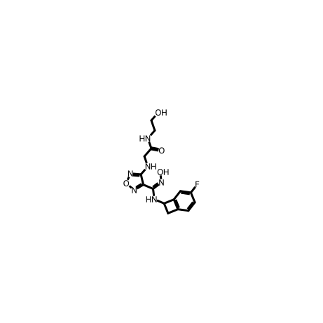 O=C(CNc1nonc1C(=NO)NC1Cc2ccc(F)cc21)NCCO